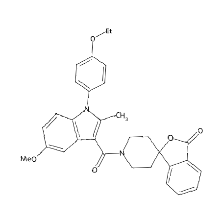 CCOc1ccc(-n2c(C)c(C(=O)N3CCC4(CC3)OC(=O)c3ccccc34)c3cc(OC)ccc32)cc1